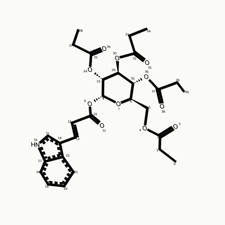 CCC(=O)OC[C@H]1O[C@H](OC(=O)/C=C/c2c[nH]c3ccccc23)[C@H](OC(=O)CC)[C@@H](OC(=O)CC)[C@@H]1OC(=O)CC